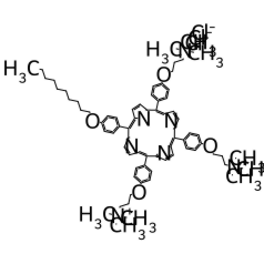 CCCCCCCCCCOc1ccc(C2=C3C=CC(=N3)C(c3ccc(OCCC[N+](C)(C)C)cc3)=C3C=CC(=N3)C(c3ccc(OCCC[N+](C)(C)C)cc3)=C3C=CC(=N3)C(c3ccc(OCCC[N+](C)(C)C)cc3)=C3C=CC2=N3)cc1.[Cl-].[Cl-].[Cl-]